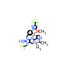 COc1cc(C(F)(F)F)nn1-c1ccc(Cn2c(=N)n(CC(F)(F)F)c3cnc(-c4c(C)cnn4C(C)C)nc32)cc1